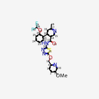 COc1ccc(COc2nnc(NC(=O)c3cnc(C)cc3-c3ccccc3OC(F)F)s2)nc1